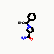 NC(=O)c1ccn(C(C=O)c2ccccc2)c1